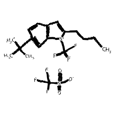 CCCCc1cc2ccc(C(C)(C)C)cc2[s+]1C(F)(F)F.O=S(=O)([O-])C(F)(F)F